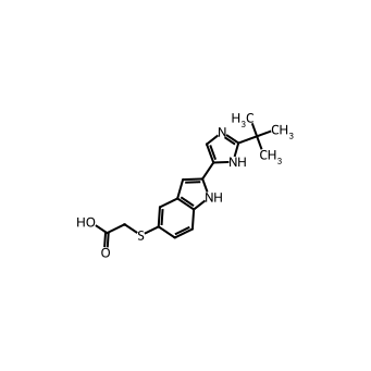 CC(C)(C)c1ncc(-c2cc3cc(SCC(=O)O)ccc3[nH]2)[nH]1